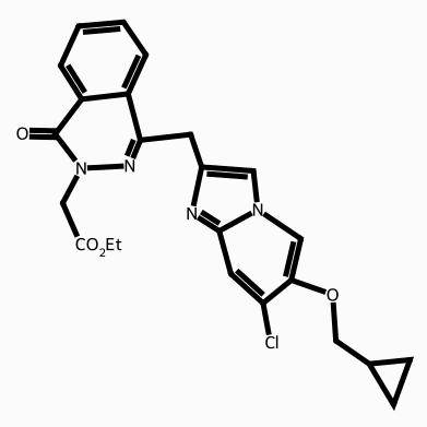 CCOC(=O)Cn1nc(Cc2cn3cc(OCC4CC4)c(Cl)cc3n2)c2ccccc2c1=O